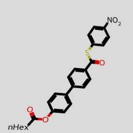 CCCCCCC(=O)Oc1ccc(-c2ccc(C(=O)Sc3ccc([N+](=O)[O-])cc3)cc2)cc1